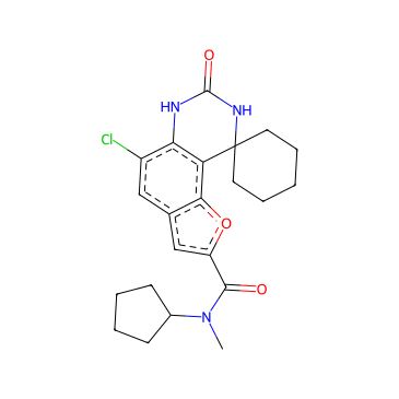 CN(C(=O)c1cc2cc(Cl)c3c(c2o1)C1(CCCCC1)NC(=O)N3)C1CCCC1